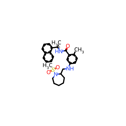 Cc1ccc(NCC2CCCCCN2S(C)(=O)=O)cc1C(=O)N[C@H](C)c1cccc2ccccc12